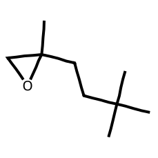 CC(C)(C)CCC1(C)CO1